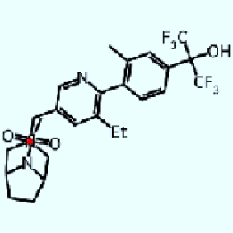 CCc1cc(CN2CC3CCC(C2)N3S(C)(=O)=O)cnc1-c1ccc(C(O)(C(F)(F)F)C(F)(F)F)cc1C